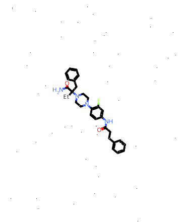 CCC(Cc1ccccc1)(C(N)=O)N1CCN(c2ccc(NC(=O)CCc3ccccc3)cc2F)CC1